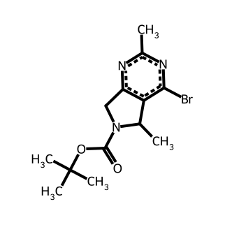 Cc1nc(Br)c2c(n1)CN(C(=O)OC(C)(C)C)C2C